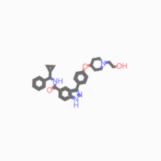 O=C(NC(c1ccccc1)C1CC1)c1ccc2[nH]nc(-c3ccc(OC4CCN(CCO)CC4)cc3)c2c1